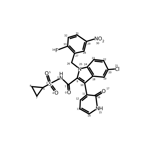 O=C(NS(=O)(=O)C1CC1)c1c(-c2ccc[nH]c2=O)c2cc(Cl)ccc2n1Cc1cc([N+](=O)[O-])ccc1F